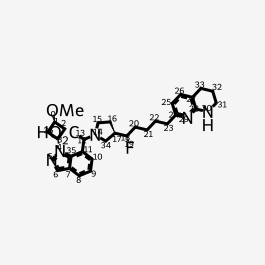 CO[C@H]1C[C@H](n2ncc3cccc(C(C(=O)O)N4CC[C@@H]([C@@H](F)CCCCc5ccc6c(n5)NCCC6)C4)c32)C1